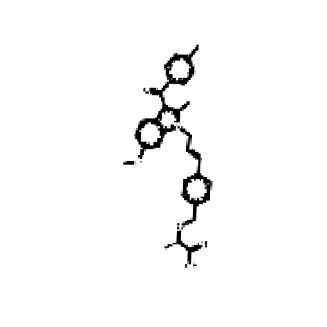 COc1ccc2c(C(=O)c3ccc(C)cc3)c(C)n(CC=Cc3ccc(CO[C@H](C)C(=O)O)cc3)c2c1